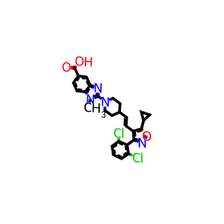 Cn1c(N2CCC(C=Cc3c(-c4c(Cl)cccc4Cl)noc3C3CC3)CC2)nc2cc(C(=O)O)ccc21